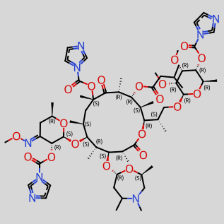 CON=C1C[C@@H](C)O[C@@H](O[C@@H]2[C@@H](C)[C@H](O[C@H]3CC(C)N(C)C[C@H](C)O3)[C@@H](C)C(=O)O[C@H]([C@@H](C)CO[C@@H]3O[C@H](C)[C@@H](OC(=O)n4ccnc4)[C@@H](OC)[C@H]3OC)[C@H](C)[C@@H](OC(=O)CC(C)C)[C@@H](C)C(=O)[C@@](C)(OC(=O)n3ccnc3)C[C@@H]2C)[C@@H]1OC(=O)n1ccnc1